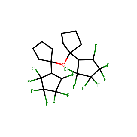 FC1C(C2(OC3(C4C(F)C(F)(F)C(F)(F)C4(F)Cl)CCCC3)CCCC2)C(F)(Cl)C(F)(F)C1(F)F